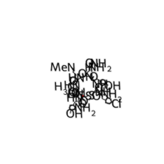 CNCCCC[C@@H]1NC(=O)[C@@H](CCCNC(N)=O)NC(=O)[C@H](Cc2ccc(O)cc2)NC(=O)[C@H](NC(=O)[C@@H](N)Cc2ccc(Cl)cc2)CSSC[C@@H](C(=O)N[C@H](Cc2ccc(O)cc2)C(N)=O)NC(=O)C(C(C)O)NC1=O